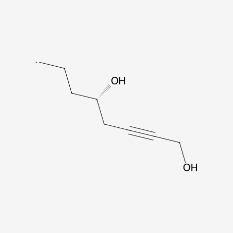 [CH2]CC[C@H](O)CC#CCO